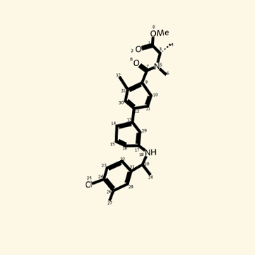 COC(=O)[C@H](C)N(C)C(=O)c1ccc(-c2cccc(NC(C)c3ccc(Cl)c(C)c3)c2)cc1C